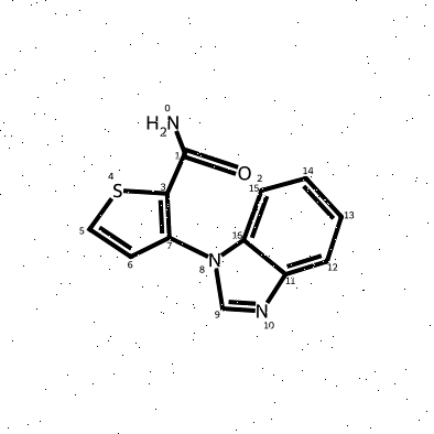 NC(=O)c1sccc1-n1cnc2ccccc21